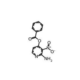 Nc1nccc(OC(=O)c2ccccc2)c1[N+](=O)[O-]